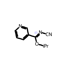 CC(C)O/C(=N\C#N)c1cccnc1